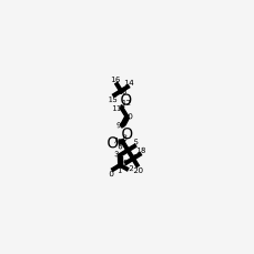 CC(C)=CC(C)(C(=O)OC=CCOC(C)(C)C)C(C)(C)C